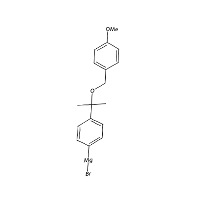 COc1ccc(COC(C)(C)c2cc[c]([Mg][Br])cc2)cc1